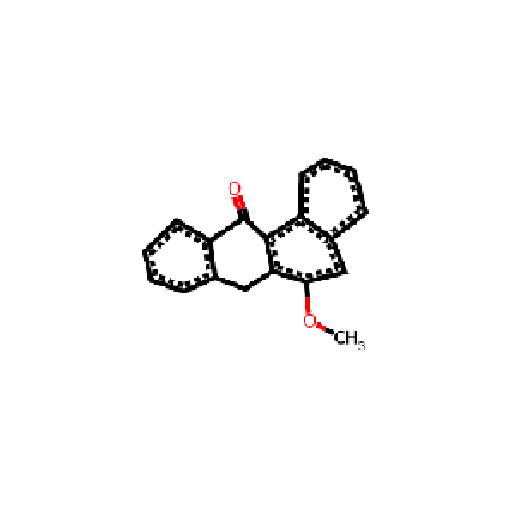 COc1cc2ccccc2c2c1Cc1ccccc1C2=O